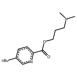 CCCCc1ccc(C(=O)OCCCN(C)C)nc1